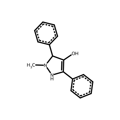 CN1NC(c2ccccc2)=C(O)C1c1ccccc1